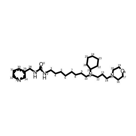 O=C(NCCCCCCCCN(CCCN1CCOCC1)C1CCCCC1)NCc1cccnc1